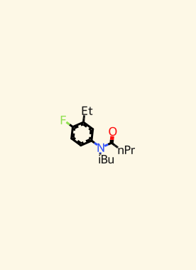 CCCC(=O)N(c1ccc(F)c(CC)c1)C(C)CC